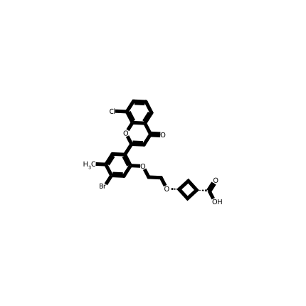 Cc1cc(-c2cc(=O)c3cccc(Cl)c3o2)c(OCCO[C@H]2C[C@@H](C(=O)O)C2)cc1Br